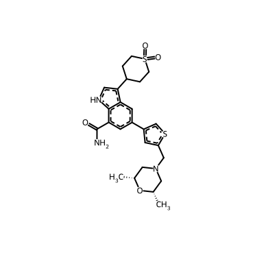 C[C@@H]1CN(Cc2cc(-c3cc(C(N)=O)c4[nH]cc(C5CCS(=O)(=O)CC5)c4c3)cs2)C[C@H](C)O1